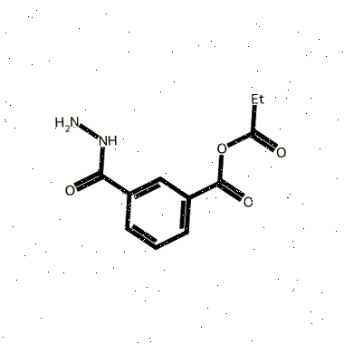 CCC(=O)OC(=O)c1cccc(C(=O)NN)c1